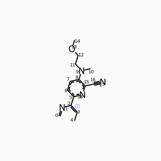 C=N/C(=C\C)c1ccc(N(C)CCOC)c(C#N)n1